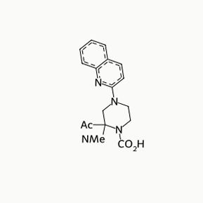 CNC1(C(C)=O)CN(c2ccc3ccccc3n2)CCN1C(=O)O